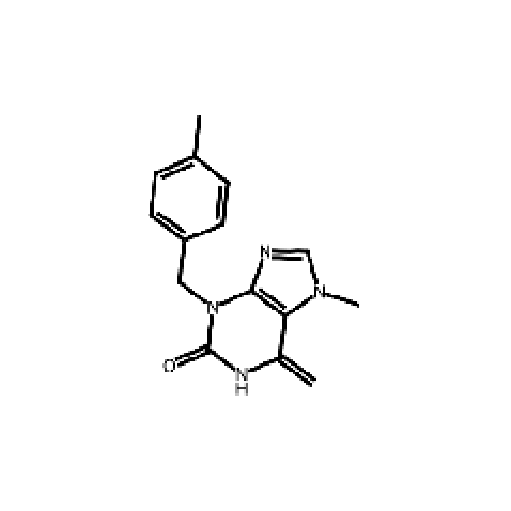 C=C1NC(=O)N(Cc2ccc(C)cc2)c2ncn(C)c21